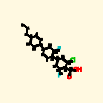 CCCc1ccc(-c2ccc(-c3cc(F)c(C(=O)O)c(Cl)c3)c(F)c2)cc1